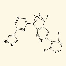 CC1(C)[C@H]2CC[C@@]1(c1cncc(-c3cn[nH]c3)n1)c1nnc(-c3c(F)cccc3F)cc12